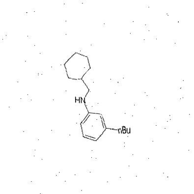 CCCCc1cccc(NCC2CCCCC2)c1